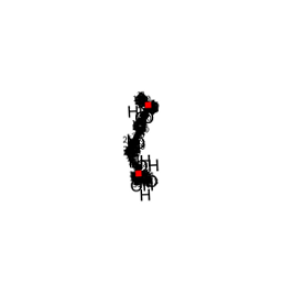 O=C(Nc1ccccc1-c1ccccc1)OC1CCN(CCC(=O)N(I)c2ccc(CNCC(O)c3ccc(O)c4[nH]c(=O)ccc34)cc2I)CC1